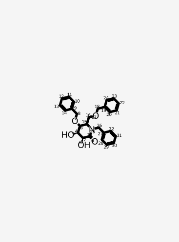 O=C1[C@@H](O)[C@@H](O)C(OCc2ccccc2)C(COCc2ccccc2)N1Cc1ccccc1